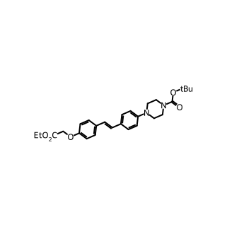 CCOC(=O)COc1ccc(C=Cc2ccc(N3CCN(C(=O)OC(C)(C)C)CC3)cc2)cc1